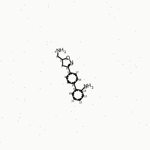 NCC1CC(c2ccc(-c3ccccc3N)cc2)=NO1